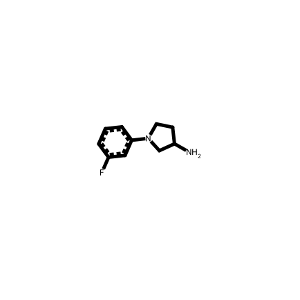 NC1CCN(c2cccc(F)c2)C1